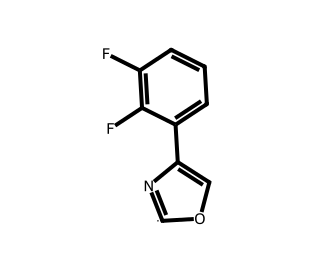 Fc1cccc(-c2co[c]n2)c1F